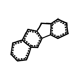 [c]1cccc2c1Cc1cc3ccccc3cc1-2